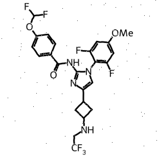 COc1cc(F)c(-n2cc(C3CC(NCC(F)(F)F)C3)nc2NC(=O)c2ccc(OC(F)F)cc2)c(F)c1